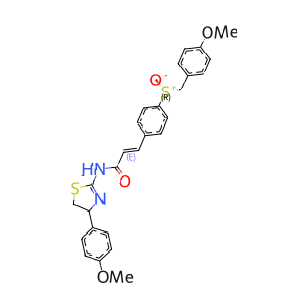 COc1ccc(C[S@+]([O-])c2ccc(/C=C/C(=O)NC3=NC(c4ccc(OC)cc4)CS3)cc2)cc1